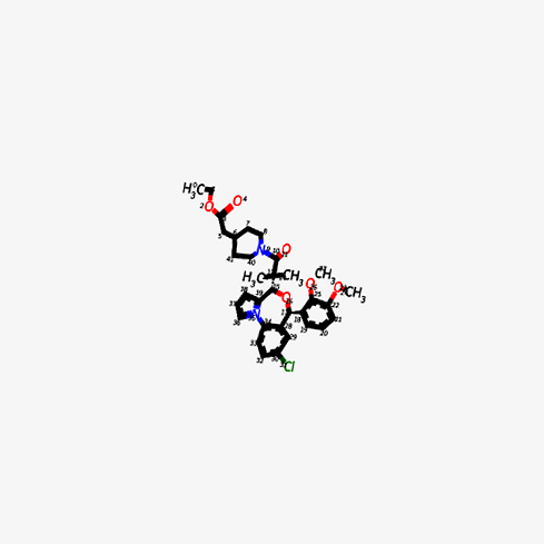 CCOC(=O)CC1CCN(C(=O)C(C)(C)[C@@H]2O[C@@H](c3cccc(OC)c3OC)c3cc(Cl)ccc3-n3cccc32)CC1